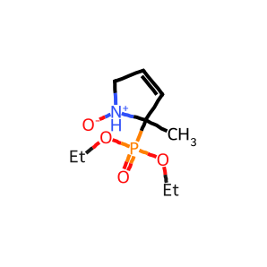 CCOP(=O)(OCC)C1(C)C=CC[NH+]1[O-]